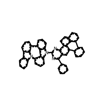 c1ccc(-c2ccccc2-c2cc3c(-c4ccccc4)nc(-n4c5cccc6c7cccc8c9ccccc9n(c9cccc4c9c65)c78)nc3c3ccccc23)cc1